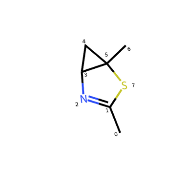 CC1=NC2CC2(C)S1